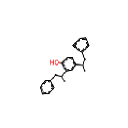 CC(Cc1ccccc1)c1ccc(O)c(C(C)Cc2ccccc2)c1